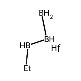 BBBCC.[Hf]